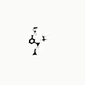 O=C(Nc1nccs1)c1cccc(C2CC2NCC2CC2)c1.O=C(O)C(F)(F)F